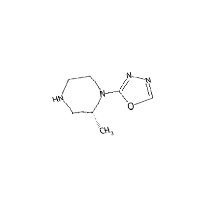 C[C@@H]1CNCCN1c1nnco1